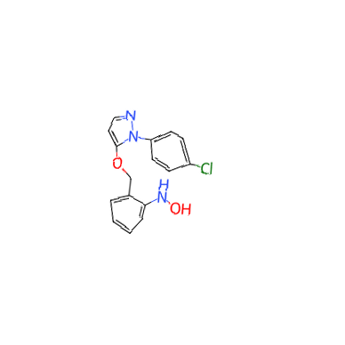 ONc1ccccc1COc1ccnn1-c1ccc(Cl)cc1